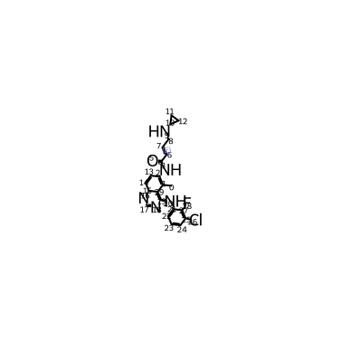 Cc1c(NC(=O)/C=C/CNC2CC2)ccc2ncnc(Nc3cccc(Cl)c3F)c12